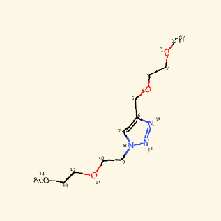 CCCOCCOCc1cn(CCOCCOC(C)=O)nn1